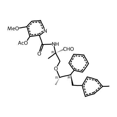 COc1ccnc(C(=O)N[C@@](C)(C=O)CO[C@@H](C)[C@H](Cc2ccc(C)cc2)c2ccccc2)c1OC(C)=O